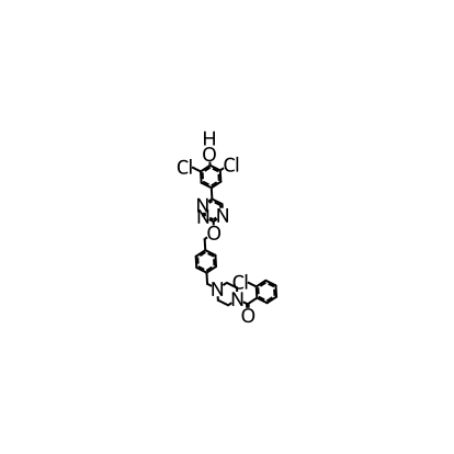 O=C(c1ccccc1Cl)N1CCN(Cc2ccc(COc3ncc(-c4cc(Cl)c(O)c(Cl)c4)nn3)cc2)CC1